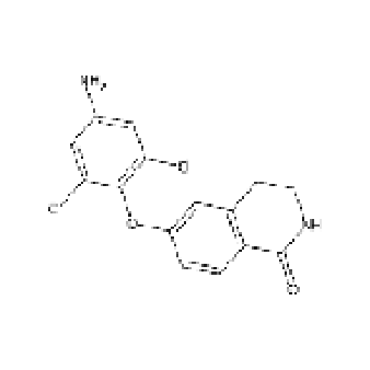 Nc1cc(Cl)c(Oc2ccc3c(c2)CCNC3=O)c(Cl)c1